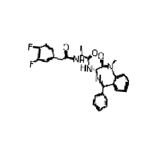 C[C@H](NC(=O)Cc1ccc(F)c(F)c1)C(=O)N[C@H]1N=C(c2ccccc2)c2ccccc2N(C)C1=O